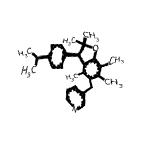 Cc1c(C)c2c(c(C)c1Cc1cccnc1)C(c1ccc(C(C)C)cc1)C(C)(C)O2